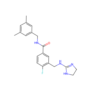 Cc1cc(C)cc(CNC(=O)c2ccc(F)c(CNC3=NCCN3)c2)c1